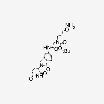 CC(C)(C)OC(=O)N(CCCON)CC(=O)Nc1ccc2c(c1)CN(C1CCC(=O)NC1=O)C2=O